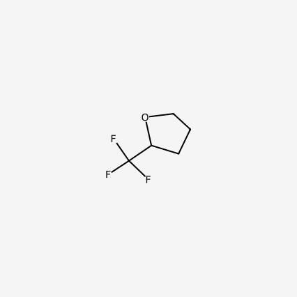 FC(F)(F)C1CCCO1